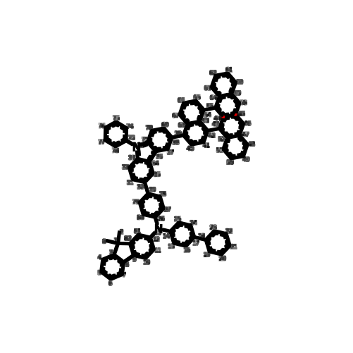 CC1(C)c2ccccc2-c2ccc(N(c3ccc(-c4ccccc4)cc3)c3ccc(-c4ccc5c(c4)c4cc(-c6ccc(-c7cccc8ccccc78)c7c(-c8cccc9ccccc89)cccc67)ccc4n5-c4ccccc4)cc3)cc21